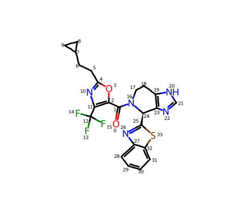 O=C(c1oc(CCC2CC2)nc1C(F)(F)F)N1CCc2[nH]cnc2[C@H]1c1nc2ccccc2s1